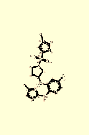 Cc1csc(Nc2ncc(Br)cc2OC2CCN(S(=O)(=O)c3cn(C)cn3)C2)n1